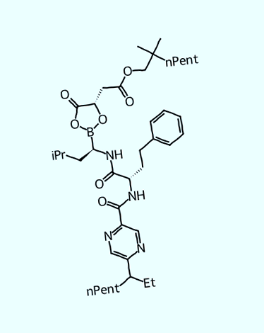 CCCCCC(CC)c1cnc(C(=O)N[C@@H](CCc2ccccc2)C(=O)N[C@@H](CC(C)C)B2OC(=O)[C@H](CC(=O)OCC(C)(C)CCCCC)O2)cn1